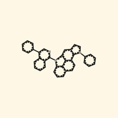 c1ccc(-c2cnc(-n3c4cccc5ccc6c(c54)c3cc3ccn(-c4ccccc4)c36)c3ccccc23)cc1